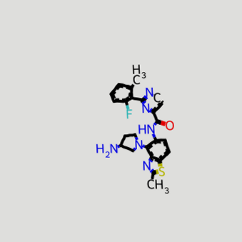 Cc1nc2c(N3CCC(N)C3)c(NC(=O)c3ccnc(-c4c(C)cccc4F)n3)ccc2s1